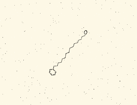 [O]CCCCCCCCCCCCCCCCc1ccccc1